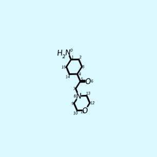 NC1CCC(C(=O)CN2CCOCC2)CC1